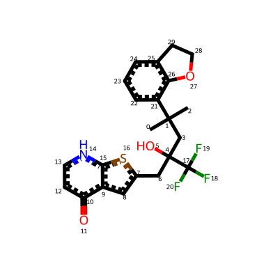 CC(C)(CC(O)(Cc1cc2c(=O)cc[nH]c2s1)C(F)(F)F)c1cccc2c1OCC2